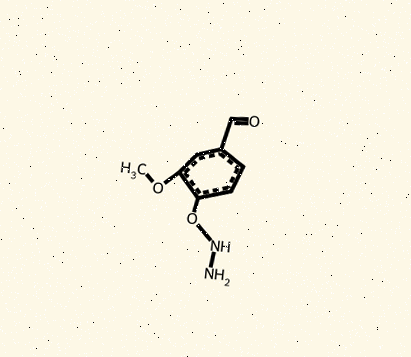 COc1cc(C=O)ccc1ONN